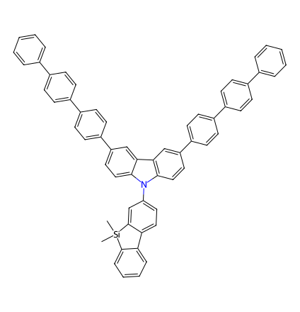 C[Si]1(C)c2ccccc2-c2ccc(-n3c4ccc(-c5ccc(-c6ccc(-c7ccccc7)cc6)cc5)cc4c4cc(-c5ccc(-c6ccc(-c7ccccc7)cc6)cc5)ccc43)cc21